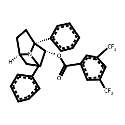 O=C(O[C@@H]1CC[C@H]2CC[C@]1(c1ccccc1)N2Cc1ccccc1)c1cc(C(F)(F)F)cc(C(F)(F)F)c1